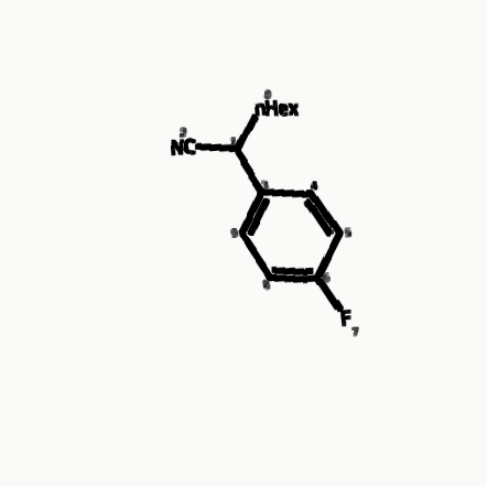 CCCCCCC(C#N)c1ccc(F)cc1